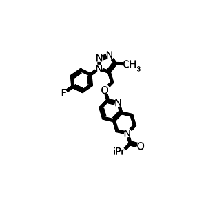 Cc1nnn(-c2ccc(F)cc2)c1COc1ccc2c(n1)CCN(C(=O)C(C)C)C2